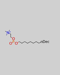 CCCCCCCCCCCCCCCCCCOP([O-])OCC[N+](C)(C)C